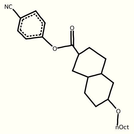 CCCCCCCCOC1CCC2CC(C(=O)Oc3ccc(C#N)cc3)CCC2C1